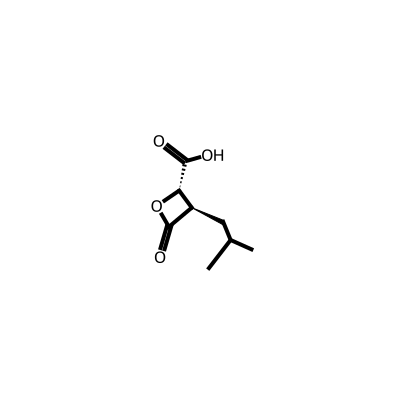 CC(C)C[C@H]1C(=O)O[C@@H]1C(=O)O